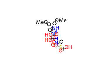 COc1ccc(C(Nc2ccn([C@@H]3O[C@H](COP(=O)(NCc4ccccc4)OCCSC(=O)C(C)(C)CO)[C@H](O)C3(C)O)c(=O)n2)(c2ccccc2)c2ccc(OC)cc2)cc1